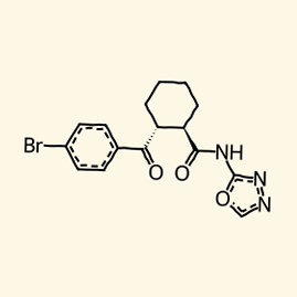 O=C(Nc1nnco1)[C@@H]1CCCC[C@H]1C(=O)c1ccc(Br)cc1